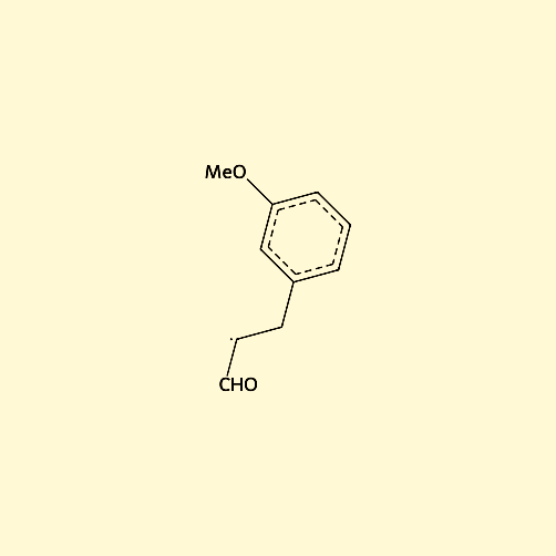 COc1cccc(C[CH]C=O)c1